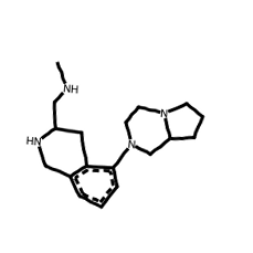 CNCC1Cc2c(cccc2N2CCN3CCCC3C2)CN1